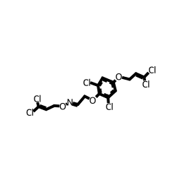 ClC(Cl)=CCON=CCOc1c(Cl)cc(OCC=C(Cl)Cl)cc1Cl